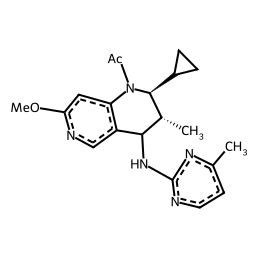 COc1cc2c(cn1)C(Nc1nccc(C)n1)[C@@H](C)[C@H](C1CC1)N2C(C)=O